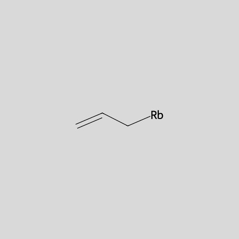 C=C[CH2][Rb]